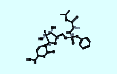 CC(C)OC(=O)[C@H](C)N[P@](=O)(OC[C@H]1O[C@@H](n2ccc(NO)nc2=O)[C@@](O)(F)[C@@H]1O)Oc1ccccc1